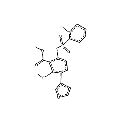 COC(=O)c1c(CS(=O)(=O)c2ccccc2F)ccc(-c2ccoc2)c1OC